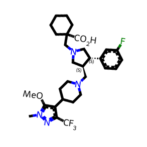 COc1c(C2CCN(C[C@H]3CN(CC4(C(=O)O)CCCCC4)C[C@@H]3c3cccc(F)c3)CC2)c(C(F)(F)F)nn1C